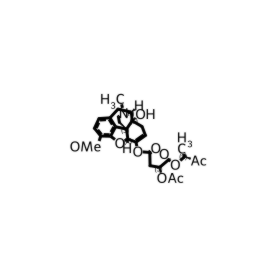 COc1ccc2c3c1O[C@H]1C(OC(=O)C[C@H](OC(C)=O)C(=O)O[C@@H](C)C(C)=O)=CC[C@@]4(O)[C@@H](C2)N(C)CC[C@]314